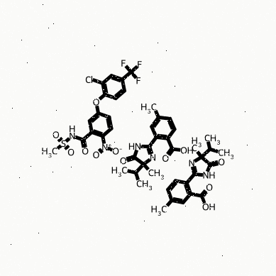 CS(=O)(=O)NC(=O)c1cc(Oc2ccc(C(F)(F)F)cc2Cl)ccc1[N+](=O)[O-].Cc1ccc(C(=O)O)c(C2=NC(C)(C(C)C)C(=O)N2)c1.Cc1ccc(C2=NC(C)(C(C)C)C(=O)N2)c(C(=O)O)c1